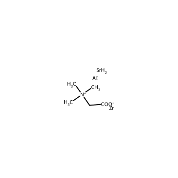 C[N+](C)(C)CC(=O)[O-].[Al].[SrH2].[Zr]